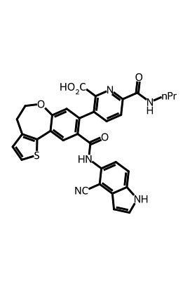 CCCNC(=O)c1ccc(-c2cc3c(cc2C(=O)Nc2ccc4[nH]ccc4c2C#N)-c2sccc2CCO3)c(C(=O)O)n1